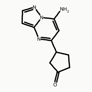 Nc1cc(C2CCC(=O)C2)nc2ccnn12